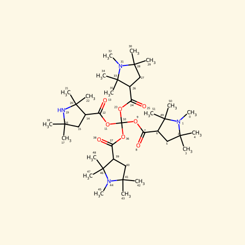 CN1C(C)(C)CC(C(=O)OC(OC(=O)C2CC(C)(C)NC2(C)C)(OC(=O)C2CC(C)(C)N(C)C2(C)C)OC(=O)C2CC(C)(C)N(C)C2(C)C)C1(C)C